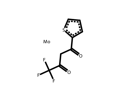 O=C(CC(=O)C(F)(F)F)c1cccs1.[Mo]